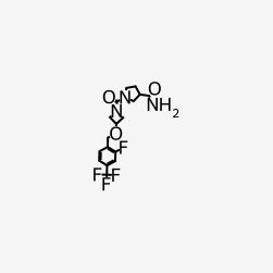 NC(=O)C1CCN(C(=O)N2CC(OCc3ccc(C(F)(F)F)cc3F)C2)C1